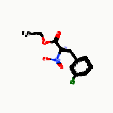 CCOC(=O)/C(=C/c1cccc(Cl)c1)[N+](=O)[O-]